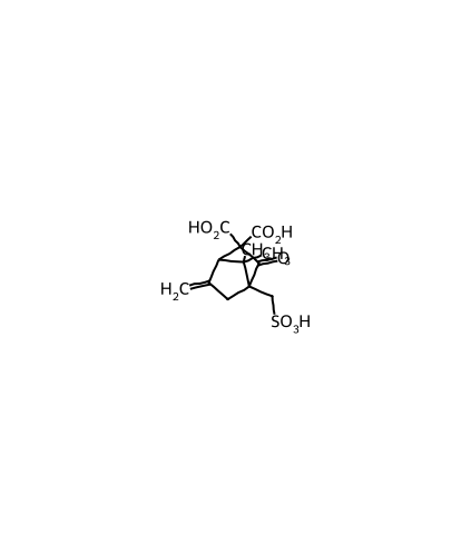 C=C1CC2(CS(=O)(=O)O)C(=O)C(C(=O)O)(C(=O)O)C1C2(C)C